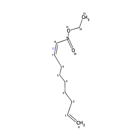 C=CCCCCC/C=C\C(=O)OCC